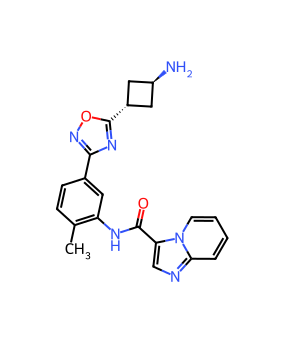 Cc1ccc(-c2noc([C@H]3C[C@H](N)C3)n2)cc1NC(=O)c1cnc2ccccn12